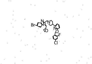 Fc1cc(Cl)ccc1COc1cccc(C2CCN(Cc3nc4cc(Br)ccc4n3CC3CCO3)CC2)n1